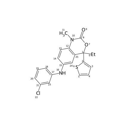 CCC1(c2cccs2)OC(=O)N(C)c2ccc(Nc3cccc(Cl)c3)cc21